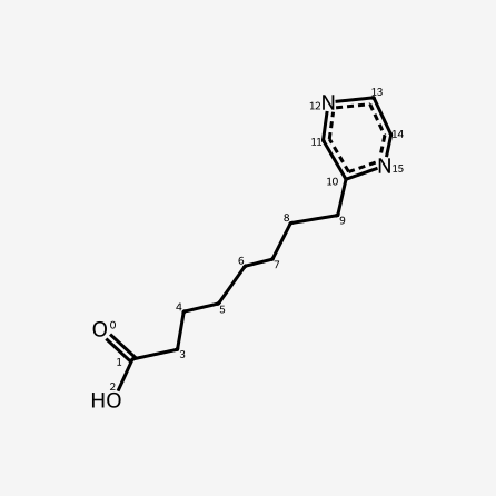 O=C(O)CCCCCCCc1cnccn1